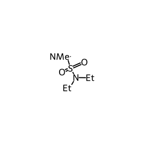 CCN(CC)S(=O)(=O)[N]C